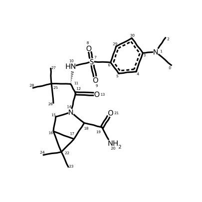 CN(C)c1ccc(S(=O)(=O)N[C@H](C(=O)N2CC3C(C2C(N)=O)C3(C)C)C(C)(C)C)cc1